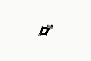 C1CSC1.O